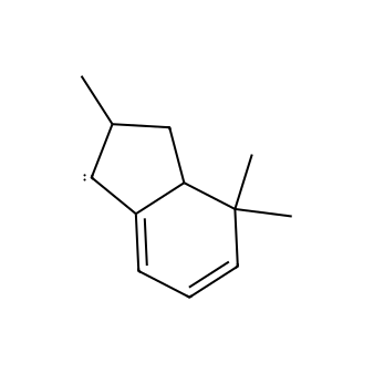 CC1[C]C2=CC=CC(C)(C)C2C1